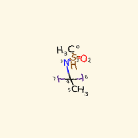 C[SH](=O)=NC(C)(I)I